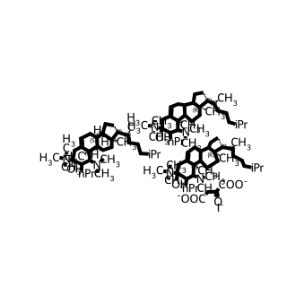 CCCC1C(N(C)C)[C@@]2(C)C(=CCC3C2CC[C@@]2(C)C3CC[C@@H]2[C@H](C)CCCC(C)C)CC1(O)[N+](C)(C)C.CCCC1C(N(C)C)[C@@]2(C)C(=CCC3C2CC[C@@]2(C)C3CC[C@@H]2[C@H](C)CCCC(C)C)CC1(O)[N+](C)(C)C.CCCC1C(N(C)C)[C@@]2(C)C(=CC[C@H]3[C@@H]4CC[C@H]([C@H](C)CCCC(C)C)[C@@]4(C)CC[C@@H]32)C[C@]1(O)[N+](C)(C)C.O=C([O-])CC(=O)C(=O)[O-].[I-]